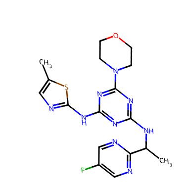 Cc1cnc(Nc2nc(NC(C)c3ncc(F)cn3)nc(N3CCOCC3)n2)s1